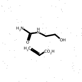 C=CC(=O)O.NC(=O)NCCO